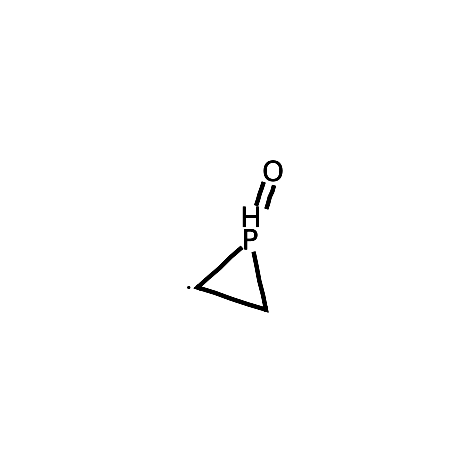 O=[PH]1[CH]C1